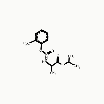 Cc1ccccc1O[PH](=O)NC(C)C(=O)OC(C)C